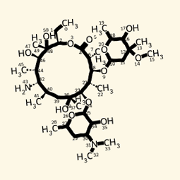 CC[C@H]1OC(=O)[C@H](C)[C@@H](OC2CC(C)(OC)C(O)C(C)O2)[C@H](C)[C@@H](OC2OC(C)CC(N(C)C)C2O)[C@](C)(O)C[C@@H](C)[C@H](N)[C@H](C)[C@@H](O)[C@]1(C)O